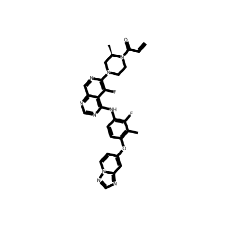 C=CC(=O)N1CCN(c2ncc3ncnc(Nc4ccc(Oc5ccn6ncnc6c5)c(C)c4F)c3c2F)C[C@H]1C